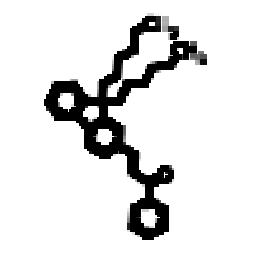 CCCCCCC1(CCCCCC)c2ccccc2-c2ccc(C=CC(=O)c3ccccc3)cc21